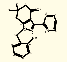 CC1(C)CC(=O)c2c(-c3ncccn3)nn(Cc3ccccc3F)c2C1